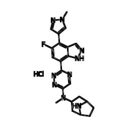 CN(c1cnc(-c2cc(F)c(-c3cnn(C)c3)c3cn[nH]c23)nn1)C1CC2CCC(C1)N2.Cl